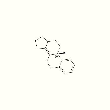 C[C@]12CCC3CCCC3=C1CCc1ccccc12